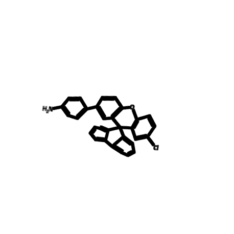 Nc1ccc(-c2ccc3c(c2)C2(c4cc(Cl)ccc4O3)c3ccccc3-c3ccccc32)cc1